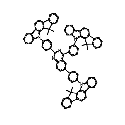 CC1(C)c2ccccc2-c2ccc3c4ccccc4n(-c4ccc(-c5ccc6nc(-c7ccc(-n8c9ccccc9c9ccc%10c(c98)C(C)(C)c8ccccc8-%10)cc7)nc(-c7cccc(-n8c9ccccc9c9ccc%10c(c98)C(C)(C)c8ccccc8-%10)c7)c6c5)cc4)c3c21